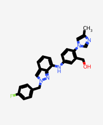 Cc1cn(-c2ccc(Nc3cccc4cn(Cc5ccc(F)cc5)nc34)cc2CO)cn1